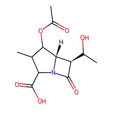 CC(=O)OC1C(C)C(C(=O)O)N2C(=O)[C@H](C(C)O)[C@@H]12